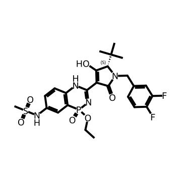 CCOP1(=O)N=C(C2=C(O)[C@H](C(C)(C)C)N(Cc3ccc(F)c(F)c3)C2=O)Nc2ccc(NS(C)(=O)=O)cc21